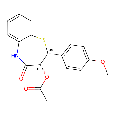 COc1ccc([C@H]2Sc3ccccc3NC(=O)[C@H]2OC(C)=O)cc1